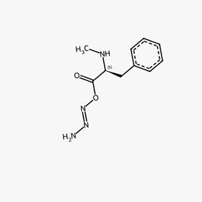 CN[C@@H](Cc1ccccc1)C(=O)ON=NN